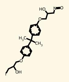 CC(C)(c1ccc(OCC(O)CI)cc1)c1ccc(OCC(O)CN=O)cc1